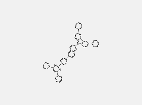 c1ccc(-c2ccc3c(c2)c2cc(-c4ccccc4)ccc2n3-c2ccc3cc(-c4ccc(-c5nc(-c6ccccc6)nc(-c6ccccc6)n5)cc4)ccc3c2)cc1